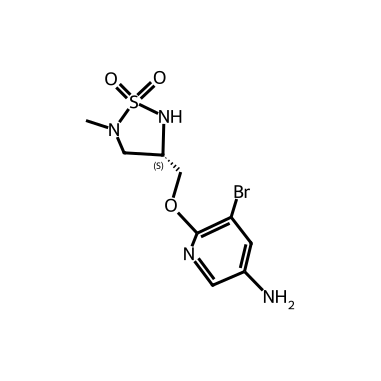 CN1C[C@@H](COc2ncc(N)cc2Br)NS1(=O)=O